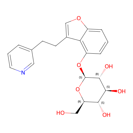 OC[C@H]1O[C@@H](Oc2cccc3occ(CCc4cccnc4)c23)[C@H](O)[C@@H](O)[C@@H]1O